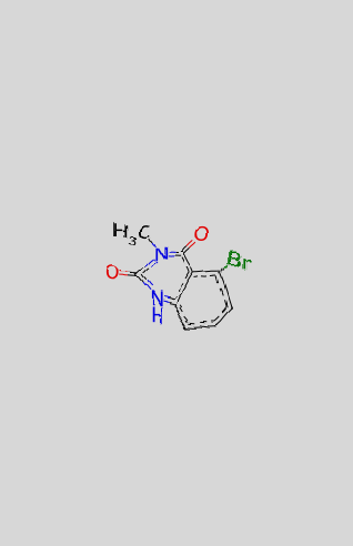 Cn1c(=O)[nH]c2cccc(Br)c2c1=O